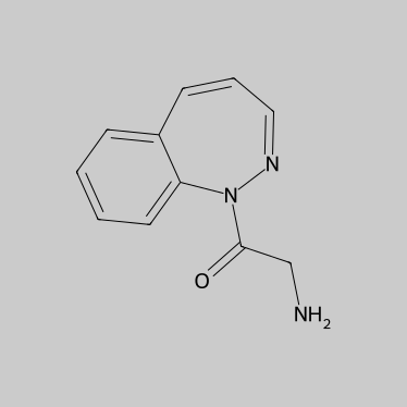 NCC(=O)N1N=CC=Cc2ccccc21